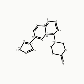 O=C1CCN(c2ncnc3ccc(-c4cn[nH]c4)cc23)CC1